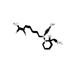 C=CC1(CC)CCCCN1N(C#CO)C/C=C/C=C\C(F)=C(/C)F